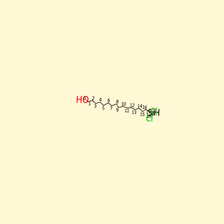 OCCCCCCCCCCCCCCCC[SiH](Cl)Cl